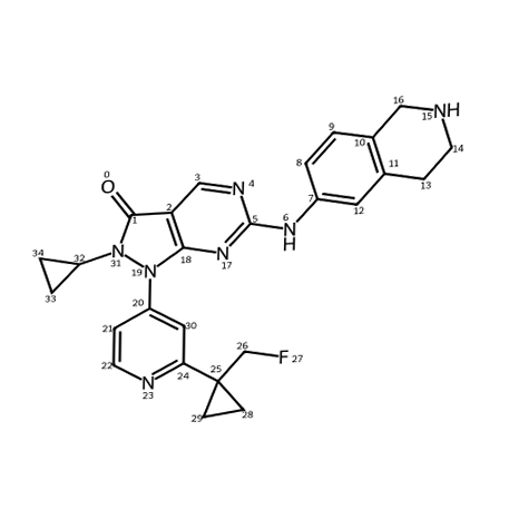 O=c1c2cnc(Nc3ccc4c(c3)CCNC4)nc2n(-c2ccnc(C3(CF)CC3)c2)n1C1CC1